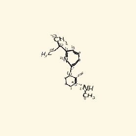 CN[C@@H]1CCCN(c2cccc(C(C)C)n2)C1